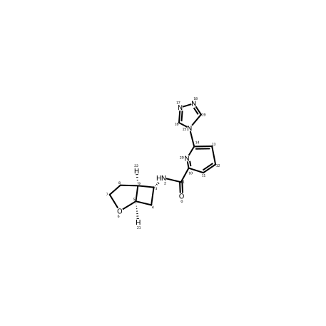 O=C(N[C@@H]1C[C@H]2OCC[C@@H]12)c1cccc(-n2cnnc2)n1